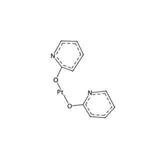 c1ccc([O][Pt][O]c2ccccn2)nc1